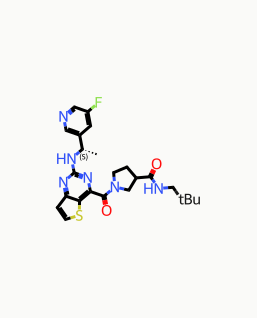 C[C@H](Nc1nc(C(=O)N2CCC(C(=O)NCC(C)(C)C)C2)c2sccc2n1)c1cncc(F)c1